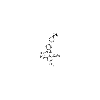 COc1cc(C(F)(F)F)cc(C)c1-c1nc2nc(N3CCN(C)CC3)cnc2n1C